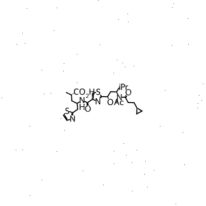 CC(=O)O[C@H](CC(C(C)C)N(C)C(=O)CCC1CC1)c1nc(C(=O)NC(Cc2nccs2)C[C@H](C)C(=O)O)cs1